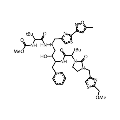 COCc1nc(CN2CCN(C(C(=O)NC(Cc3ccccc3)C(O)CN(Cc3csc(-c4cc(C)on4)n3)NC(=O)C(NC(=O)OC)C(C)(C)C)C(C)(C)C)C2=O)cs1